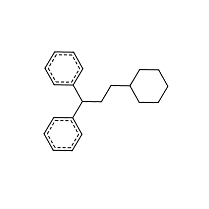 c1ccc(C(CC[C]2CCCCC2)c2ccccc2)cc1